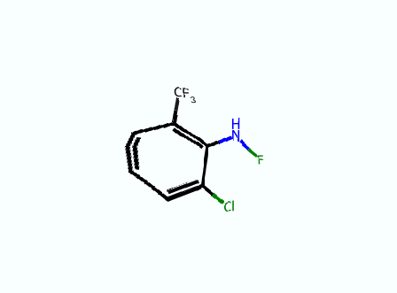 FNc1c(Cl)cccc1C(F)(F)F